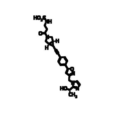 C[C@H](O)c1nccn1Cc1cc(-c2ccc(C#CC3[C@H]4CN(C(=O)CCNC(=O)O)C[C@@H]34)cc2)on1